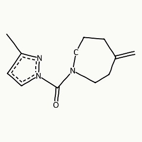 C=C1CCCN(C(=O)n2ccc(C)n2)CC1